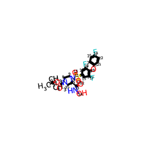 CC(C)(C)OC(=O)N1CCN(S(=O)(=O)c2cc(F)c(Oc3ccc(F)cc3)c(F)c2)[C@@H](C(=O)NO)C1